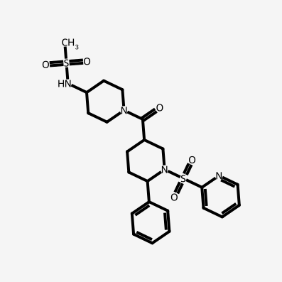 CS(=O)(=O)NC1CCN(C(=O)C2CCC(c3ccccc3)N(S(=O)(=O)c3ccccn3)C2)CC1